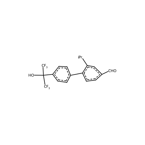 CC(C)c1cc(C=O)ccc1-c1ccc(C(O)(C(F)(F)F)C(F)(F)F)cc1